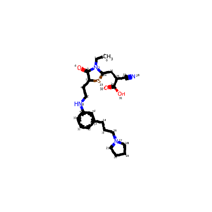 CCN1C(=O)C(CCNc2cccc(CCCN3CCCC3)c2)SC1CC(C#N)C(=O)O